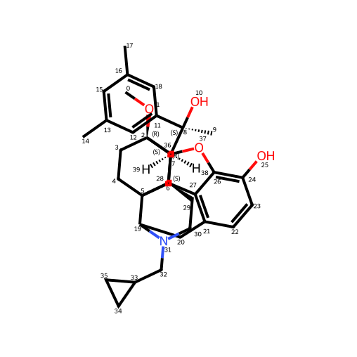 CO[C@]12CCC3(C[C@@H]1[C@](C)(O)c1cc(C)cc(C)c1)C1Cc4ccc(O)c5c4[C@@]3(CCN1CC1CC1)[C@@H]2O5